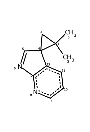 CC1(C)CC12C=Nc1ncccc12